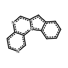 c1ccc2c(c1)cc1cnc3ccncc3n12